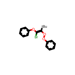 CC(C)(C)C(OOc1ccccc1)=C(Br)Oc1ccccc1